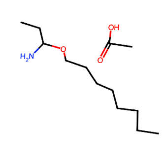 CC(=O)O.CCCCCCCCOC(N)CC